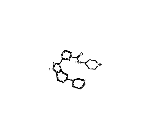 O=C(NC1CCNCC1)c1cccc(-c2n[nH]c3cnc(-c4cccnc4)cc23)n1